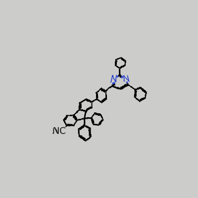 N#Cc1ccc2c(c1)C(c1ccccc1)(c1ccccc1)c1cc(-c3ccc(-c4cc(-c5ccccc5)nc(-c5ccccc5)n4)cc3)ccc1-2